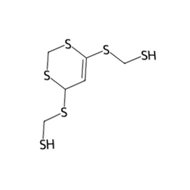 SCSC1=CC(SCS)SCS1